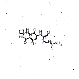 C\C(N)=N/C=N\C(=C\Cl)Nc1cc(Cl)c2n(c1=O)NC1(CCC1)NC2=O